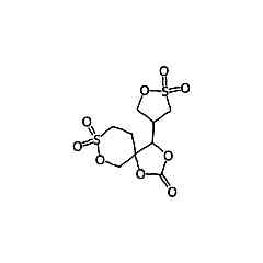 O=C1OC(C2COS(=O)(=O)C2)C2(CCS(=O)(=O)OC2)O1